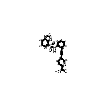 O=C(O)c1ccc(C#Cc2ccccc2NS(=O)(=O)c2cccc3nsnc23)cn1